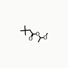 COC(C)OC(=O)CC(C)(C)C